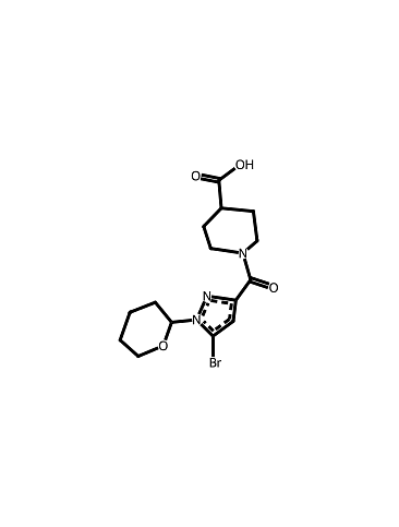 O=C(O)C1CCN(C(=O)c2cc(Br)n(C3CCCCO3)n2)CC1